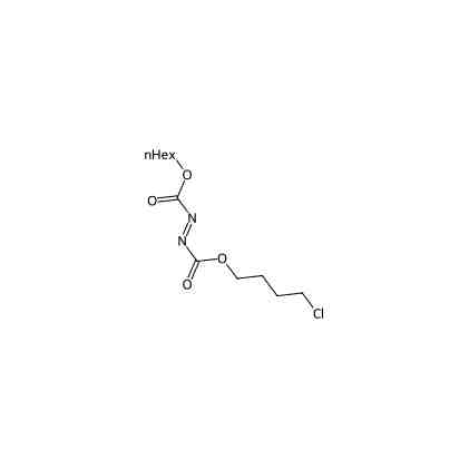 CCCCCCOC(=O)N=NC(=O)OCCCCCl